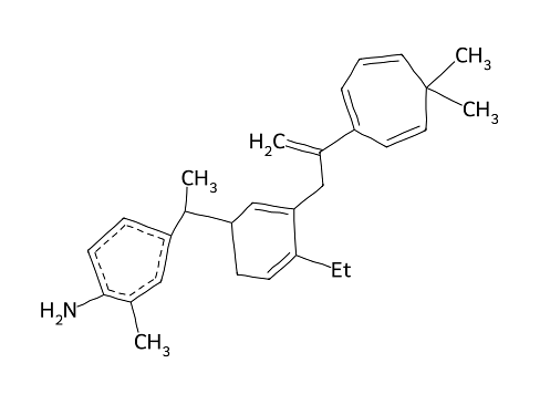 C=C(CC1=CC(C(C)c2ccc(N)c(C)c2)CC=C1CC)C1=CC=CC(C)(C)C=C1